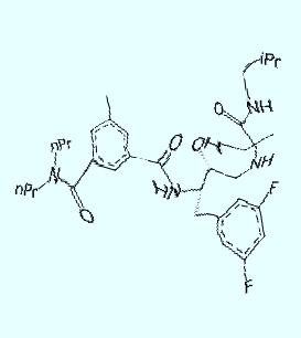 CCCN(CCC)C(=O)c1cc(C)cc(C(=O)N[C@@H](Cc2cc(F)cc(F)c2)[C@H](O)CNC(C)(C)C(=O)NCC(C)C)c1